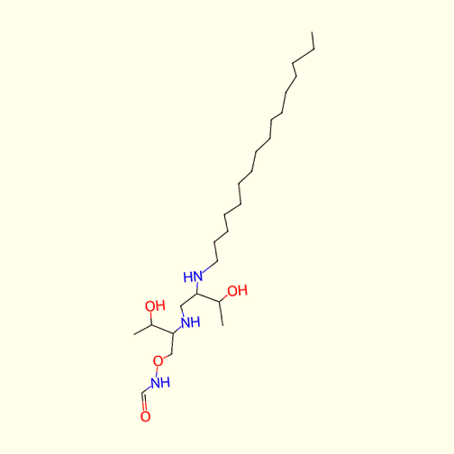 CCCCCCCCCCCCCCCCNC(CNC(CONC=O)C(C)O)C(C)O